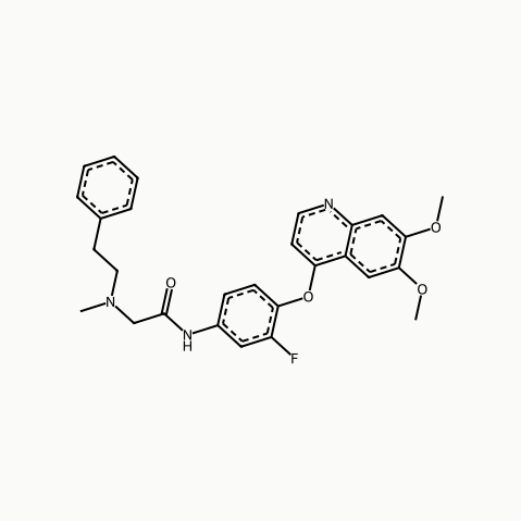 COc1cc2nccc(Oc3ccc(NC(=O)CN(C)CCc4ccccc4)cc3F)c2cc1OC